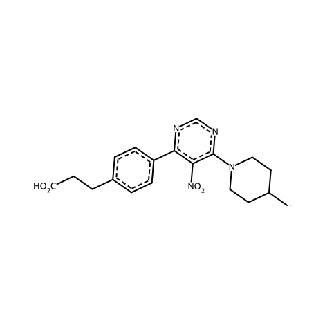 [CH2]C1CCN(c2ncnc(-c3ccc(CCC(=O)O)cc3)c2[N+](=O)[O-])CC1